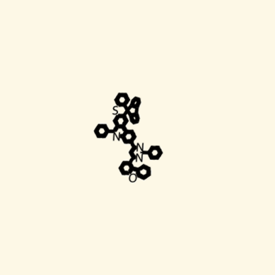 c1ccc(-c2nc(-c3ccc4c(c3)nc(-c3ccccc3)c3cc5c(cc34)C3(c4ccccc4S5)c4ccccc4-c4ccccc43)cc(-c3cccc4oc5ccccc5c34)n2)cc1